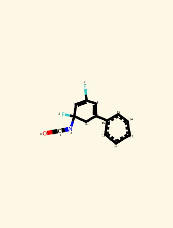 O=C=NC1(F)C=C(F)C=C(c2ccccc2)C1